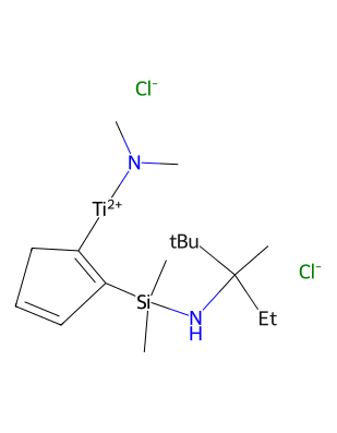 CCC(C)(N[Si](C)(C)C1=[C]([Ti+2][N](C)C)CC=C1)C(C)(C)C.[Cl-].[Cl-]